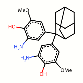 COc1cc(C2(c3cc(N)c(O)c(OC)c3)C3CC4CC(C3)CC2C4)cc(N)c1O